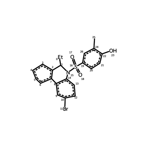 CCC1c2ccccc2-c2cc(Br)ccc2N1S(=O)(=O)c1ccc(O)c(C)c1